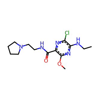 CCNc1nc(OC)c(C(=O)NCCN2CCCC2)nc1Cl